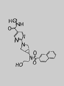 O=C(NO)c1cnc(N2CC3C(C2)C3N(CCO)S(=O)(=O)c2ccc3ccccc3c2)nc1